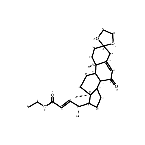 CCOC(=O)/C=C/[C@@H](C)C1CCC2C3C(=O)C=C4CC5(CC[C@]4(C)C3CC[C@@]21C)OCCO5